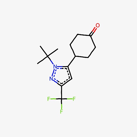 CC(C)(C)n1nc(C(F)(F)F)cc1C1CCC(=O)CC1